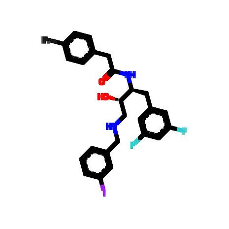 CC(C)c1ccc(CC(=O)N[C@@H](Cc2cc(F)cc(F)c2)[C@@H](O)CNCc2cccc(I)c2)cc1